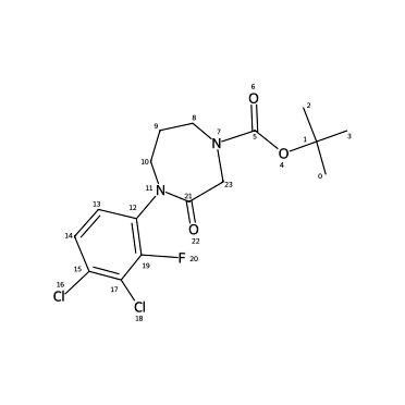 CC(C)(C)OC(=O)N1CCCN(c2ccc(Cl)c(Cl)c2F)C(=O)C1